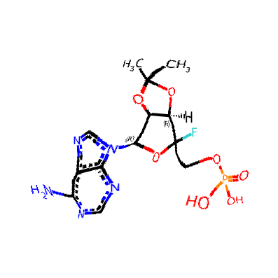 CC1(C)OC2[C@H](n3cnc4c(N)ncnc43)OC(F)(COP(=O)(O)O)[C@@H]2O1